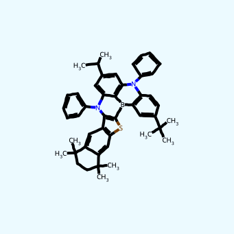 CC(C)c1cc2c3c(c1)N(c1ccccc1)c1c(sc4cc5c(cc14)C(C)(C)CCC5(C)C)B3c1cc(C(C)(C)C)ccc1N2c1ccccc1